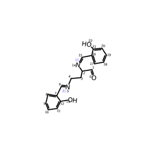 O=CC(CC/N=C/c1ccccc1O)/N=C\c1ccccc1O